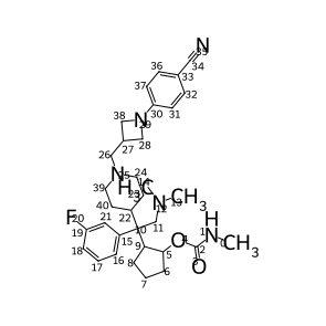 CNC(=O)OC1CCCC1C(CN(C)C)(c1cccc(F)c1)C1CCN(CC2CN(c3ccc(C#N)cc3)C2)CC1